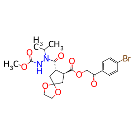 COC(=O)NN(C(=O)[C@H]1CC2(C[C@@H]1C(=O)OCC(=O)c1ccc(Br)cc1)OCCO2)C(C)C